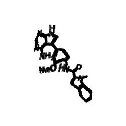 COc1cc(-c2c[nH]c3ncnc(N)c23)ccc1NC(=O)c1cc2ccccc2n1C